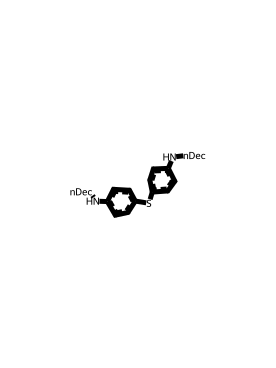 CCCCCCCCCCNc1ccc(Sc2ccc(NCCCCCCCCCC)cc2)cc1